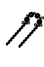 CCCCCCCCCCCCCCCCCC(=O)Nc1ccc(N=C2C=CC(=Nc3ccc(Nc4ccc(NC(=O)CCCCCCCCCCCCCCCCC)cc4)cc3)C=C2)cc1